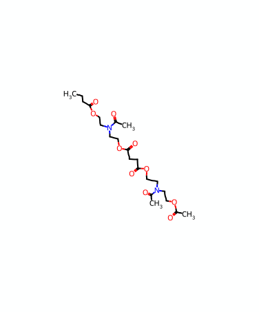 CCCC(=O)OCCN(CCOC(=O)CCC(=O)OCCN(CCOC(C)=O)C(C)=O)C(C)=O